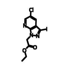 CCOC(=O)Cn1nc(I)c2cc(Cl)cnc21